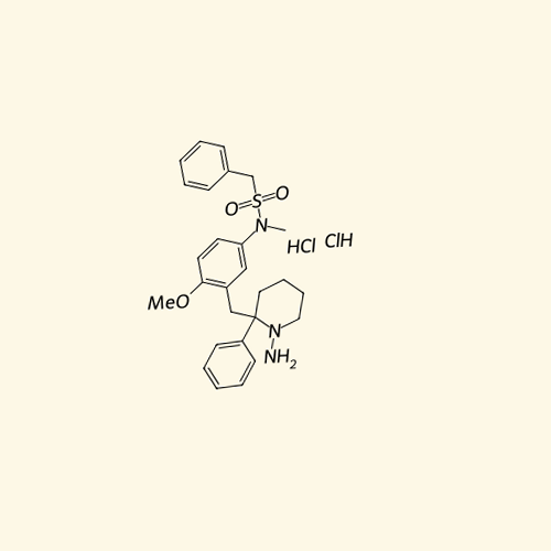 COc1ccc(N(C)S(=O)(=O)Cc2ccccc2)cc1CC1(c2ccccc2)CCCCN1N.Cl.Cl